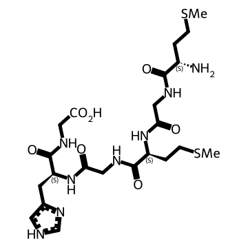 CSCC[C@H](NC(=O)CNC(=O)[C@@H](N)CCSC)C(=O)NCC(=O)N[C@@H](Cc1c[nH]cn1)C(=O)NCC(=O)O